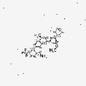 COc1cc(C(=O)N[C@H](C)c2ccc(-c3cc(C(F)(F)F)ccc3CN)cc2)nc(C2CCOCC2)n1